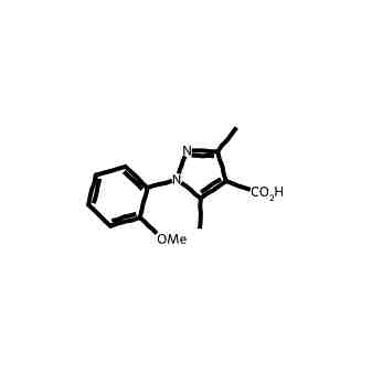 COc1ccccc1-n1nc(C)c(C(=O)O)c1C